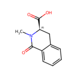 CN1C(=O)c2ccccc2C[C@@H]1C(=O)O